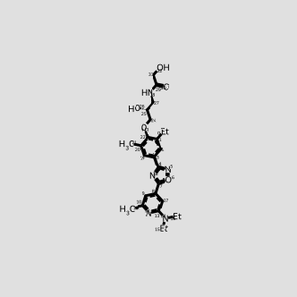 CCc1cc(-c2noc(-c3cc(C)nc(N(CC)CC)c3)n2)cc(C)c1OC[C@H](O)CNC(=O)CO